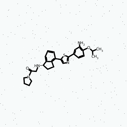 CC(C)Oc1ccc(-c2ncc(-c3cccc4c3CC[C@@H]4NCC(=O)N3CCCC3)s2)cc1N